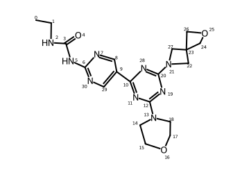 CCNC(=O)Nc1ncc(-c2nc(N3CCOCC3)nc(N3CC4(COC4)C3)n2)cn1